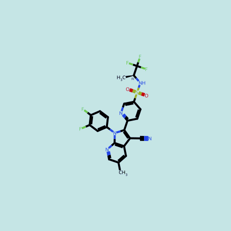 Cc1cnc2c(c1)c(C#N)c(-c1ccc(S(=O)(=O)N[C@@H](C)C(F)(F)F)cn1)n2-c1ccc(F)c(F)c1